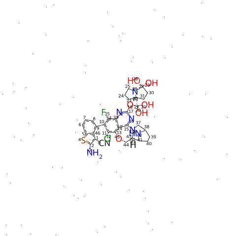 N#Cc1c(N)sc2cccc(-c3c(Cl)c4c5c(nc(OC(O)(O)[C@]67CCCN6C(O)(O)CC7)nc5c3F)N3CC5CCC(N5)[C@H]3CO4)c12